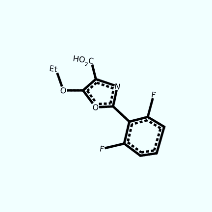 CCOc1oc(-c2c(F)cccc2F)nc1C(=O)O